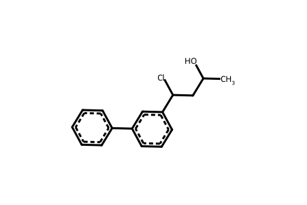 CC(O)CC(Cl)c1cccc(-c2ccccc2)c1